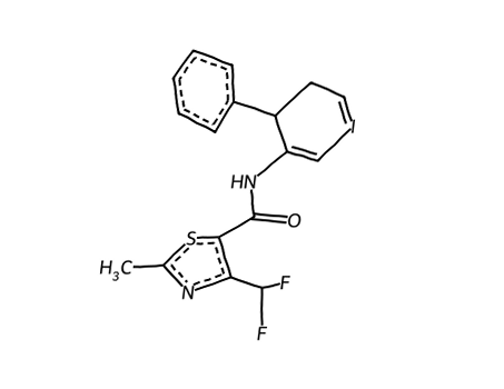 Cc1nc(C(F)F)c(C(=O)NC2=CI=CCC2c2ccccc2)s1